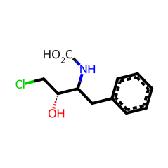 O=C(O)NC(Cc1ccccc1)[C@H](O)CCl